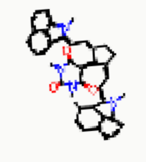 CC1C=Cc2cccc3c2C1/C(=C/C=C1/CC/C(=C/C=c2/c4cccc5cccc(c54)n2C)C1=C1C(=O)N(C)C(=O)N(C)C1=O)N3C